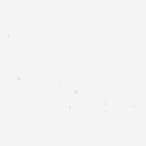 CCCn1cc(S(=O)(=O)N2CCN(c3ccc4c(cnn4-c4ccc(F)cc4)c3C)CC2C)cn1